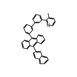 Cc1cccnc1-c1cccc(-c2cccc(-c3c4ccccc4c(-c4ccc5ccccc5c4)c4ccccc34)c2)c1